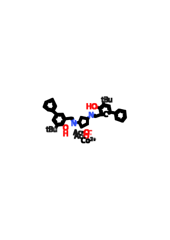 CC(=O)[O-].CC(=O)[O-].CC(C)(C)c1cc(-c2ccccc2)cc(C=NC2CCC(N=Cc3cc(-c4ccccc4)cc(C(C)(C)C)c3O)C2)c1O.[Co+2]